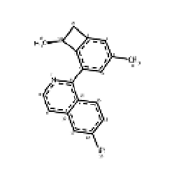 Cc1cc2c(c(-c3nccc4cc(C(C)C)ccc34)c1)[C@@H](C)C2